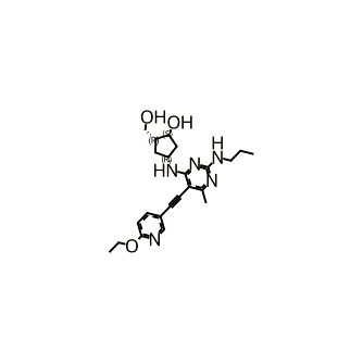 CCCNc1nc(C)c(C#Cc2ccc(OCC)nc2)c(N[C@@H]2C[C@H](CO)[C@@H](O)C2)n1